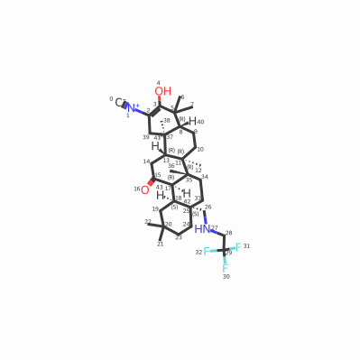 [C-]#[N+]C1=C(O)C(C)(C)[C@@H]2CC[C@]3(C)[C@H](CC(=O)[C@@H]4[C@@H]5CC(C)(C)CC[C@]5(CNCC(F)(F)F)CC[C@]43C)[C@@]2(C)C1